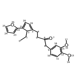 CCC1C(CCC(=O)Cc2ccc(OC)c(OC)c2)=CC=C1c1ccco1